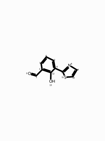 O=Cc1cccc(-c2nccs2)c1O